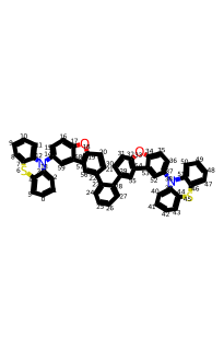 c1ccc2c(c1)Sc1ccccc1N2c1ccc2oc3ccc(-c4ccccc4-c4ccc5oc6ccc(N7c8ccccc8Sc8ccccc87)cc6c5c4)cc3c2c1